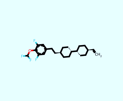 C=C[C@H]1CC[C@H]([C@H]2CC[C@H](CCc3cc(F)c(OC(F)F)c(F)c3)CC2)CC1